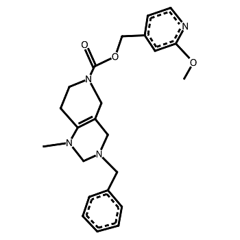 COc1cc(COC(=O)N2CCC3=C(CN(Cc4ccccc4)CN3C)C2)ccn1